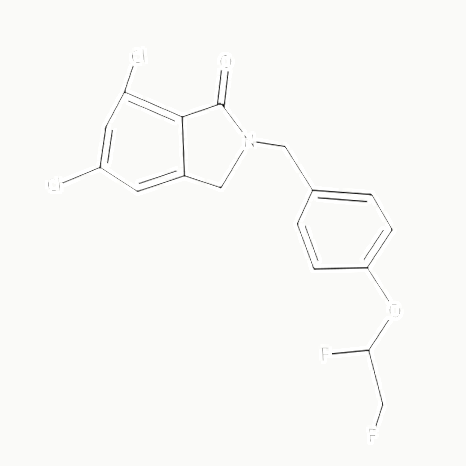 O=C1c2c(Cl)cc(Cl)cc2CN1Cc1ccc(OC(F)CF)cc1